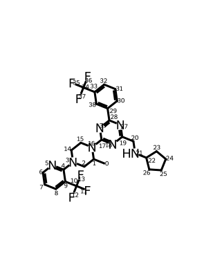 CC1CN(c2ncccc2C(F)(F)F)CCN1c1nc(CNC2CCCC2)nc(-c2cccc(C(F)(F)F)c2)n1